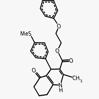 CSc1ccc(C2C(C(=O)OCCOc3ccccc3)=C(C)NC3=C2C(=O)CCC3)cc1